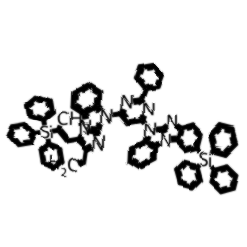 C=Cc1nc2n(-c3cc(-n4c5ccccc5n5c6cc([Si](c7ccccc7)(c7ccccc7)c7ccccc7)ccc6nc45)nc(-c4ccccc4)n3)c3ccccc3n2c1/C=C(\C)[Si](c1ccccc1)(c1ccccc1)c1ccccc1